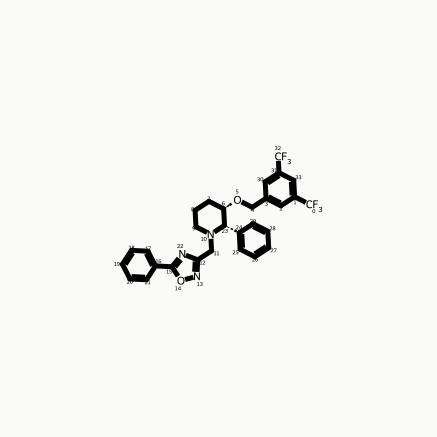 FC(F)(F)c1cc(CO[C@H]2CCCN(Cc3noc(-c4ccccc4)n3)[C@H]2c2ccccc2)cc(C(F)(F)F)c1